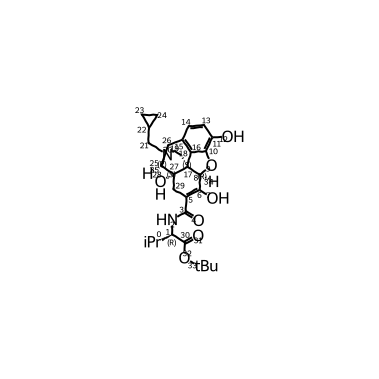 CC(C)[C@@H](NC(=O)C1=C(O)[C@@H]2Oc3c(O)ccc4c3[C@@]23CCN(CC2CC2)[C@H](C4)[C@]3(O)C1)C(=O)OC(C)(C)C